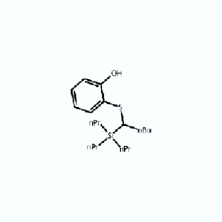 CCCCC(Sc1ccccc1O)[Si](CCC)(CCC)CCC